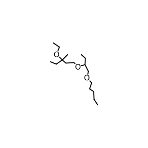 CCCCCOCC(CC)OCCC(C)(CC)OCC